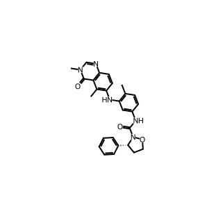 Cc1ccc(NC(=O)N2OCC[C@@H]2c2ccccc2)cc1Nc1ccc2ncn(C)c(=O)c2c1C